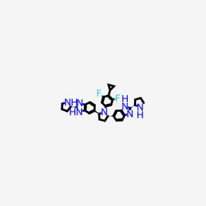 Fc1cc(N2[C@H](c3ccc4nc([C@@H]5CCCN5)[nH]c4c3)CC[C@H]2c2ccc3nc([C@@H]4CCCN4)[nH]c3c2)cc(F)c1C1CC1